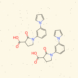 O=C(O)C1CCN(c2cccc(-n3cccc3)c2)C1=O.O=C(O)C1CCN(c2cccc(-n3cccc3)c2)C1=O